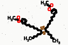 CCCCCCC1SC(CCCCCC)C(CCCCCCCc2cccc(OC(=O)CC)c2)SSC1CCCCCCCc1cccc(OC(=O)CC)c1